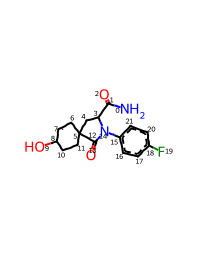 NC(=O)C1CC2(C[CH]C(O)CC2)C(=O)N1c1ccc(F)cc1